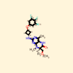 COC[C@@]1(C)C(=O)Nc2c(C)nc(N[C@H]3C[C@H](Oc4cc(F)c(F)c(F)c4)C3)nc2N1C